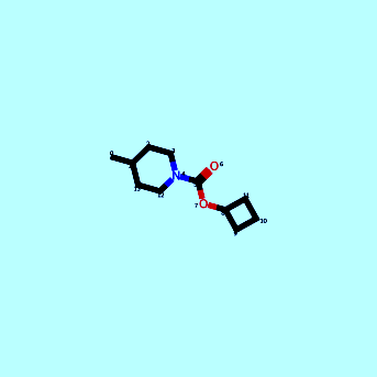 CC1CCN(C(=O)OC2CCC2)CC1